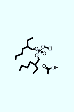 CC(=O)O.CCCCC(CC)COP(=O)(OCl)OCC(CC)CCCC